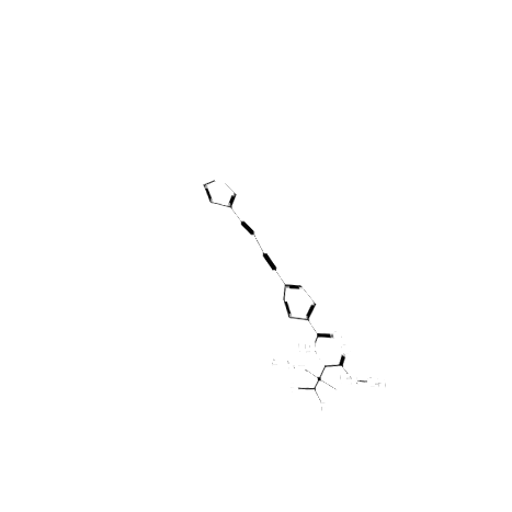 CC(=O)NC(C)(C(F)F)[C@H](NC(=O)c1ccc(C#CC#Cc2ccsc2)cc1)C(=O)NO